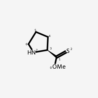 COC(=S)[C@@H]1CCCN1